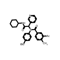 CC(=O)c1cc(C(=O)N(c2ccc(C(C)(C)C)cc2)C(C(=O)NC2CCCCC2)c2cccnc2)ccc1C